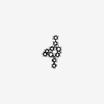 C1=CC(c2ccc(N(C3=CCC=C4CC5=C(C=C(N(C6=CC=C(c7ccccc7)CCC6)c6ccc(-c7ccccc7)cc6)CC5)C4=C3)c3ccc(-c4ccccc4)cc3)cc2)=CCC1